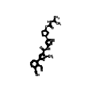 C#Cc1cccc(-c2cc(C(=O)Nc3cc([C@H]4CC[C@@H](OC(=O)NC(C)C)C4)[nH]n3)n(C)n2)c1C=O